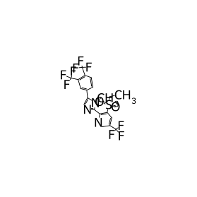 CCS(=O)(=O)c1cc(C(F)(F)F)cnc1-c1ncc(-c2ccc(C(F)(F)F)c(C(F)(F)F)c2)n1C